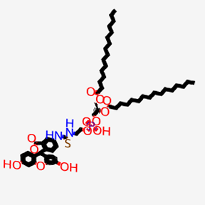 CCCCCCCCCCCCCCCC(=O)OC[C@H](COP(=O)(O)OCCNC(=S)Nc1ccc2c(c1)C(=O)OC21c2ccc(O)cc2Oc2cc(O)ccc21)OC(=O)CCCCCCCCCCCCCCC